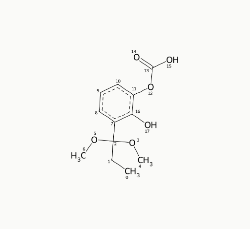 CCC(OC)(OC)c1cccc(OC(=O)O)c1O